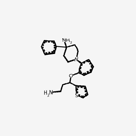 NCCC(Oc1ccccc1N1CCC(N)(c2ccccc2)CC1)c1cccs1